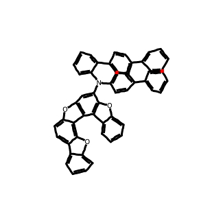 c1ccc(-c2ccc(-c3ccccc3N(c3ccc(-c4ccccc4)cc3)c3cc4oc5ccc6c7ccccc7oc6c5c4c4c3oc3ccccc34)cc2)cc1